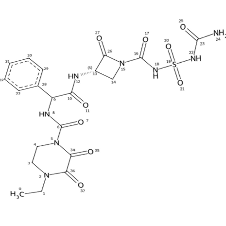 CCN1CCN(C(=O)NC(C(=O)N[C@H]2CN(C(=O)NS(=O)(=O)NC(N)=O)C2=O)c2ccccc2)C(=O)C1=O